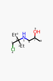 CCC(CC)(CCl)NCC(C)O